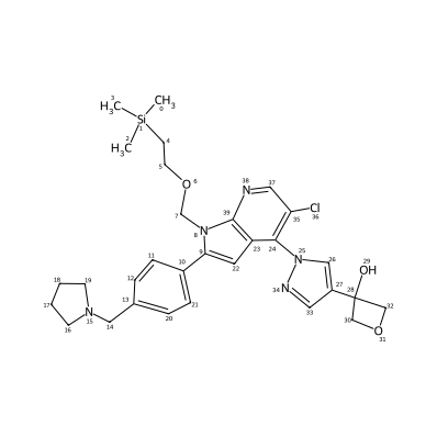 C[Si](C)(C)CCOCn1c(-c2ccc(CN3CCCC3)cc2)cc2c(-n3cc(C4(O)COC4)cn3)c(Cl)cnc21